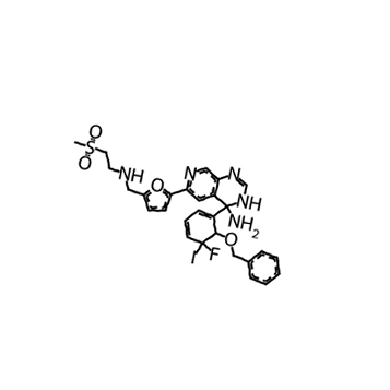 CS(=O)(=O)CCNCc1ccc(-c2cc3c(cn2)N=CNC3(N)C2=CC=CC(F)(I)C2OCc2ccccc2)o1